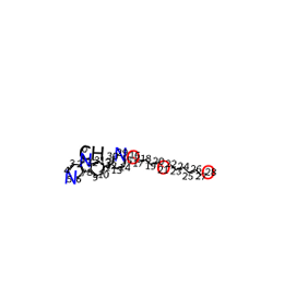 Cn1c2ccncc2c2ccc(-c3ccc(OCCCCOCCCCCC=O)nc3)cc21